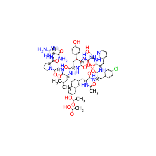 CC(=O)N[C@H](Cc1ccc2ccccc2c1)C(=O)N[C@H](Cc1ccc(Cl)cc1)C(=O)N[C@H](Cc1cccnc1)C(=O)N[C@@H](CO)C(=O)N[C@@H](Cc1ccc(O)cc1)C(=O)N[C@H](CCCNC(N)=O)C(=O)N[C@@H](CC(C)C)C(=O)N[C@@H](CCCNC(=N)N)C(=O)N1CCC[C@H]1C(=O)N[C@H](C)C(N)=O.CC(=O)O.CC(=O)O